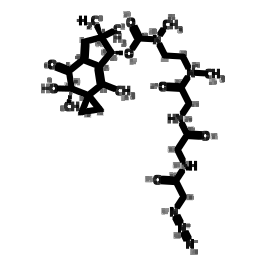 [CH2][C@]1(C)C=C2C(=O)[C@](C)(O)C3(CC3)C(C)=C2[C@H]1OC(=O)N(C)CCN(C)C(=O)CNC(=O)CNC(=O)CN=[N+]=[N-]